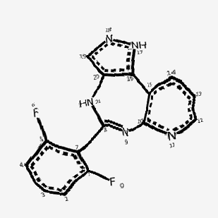 Fc1cccc(F)c1C1=Nc2ncccc2-c2[nH]ncc2N1